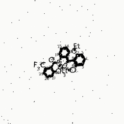 CCOc1cccc(OCC)c1C(=O)c1ccccc1[P](=O)C(=O)c1c(C(F)(F)F)cccc1C(F)(F)F